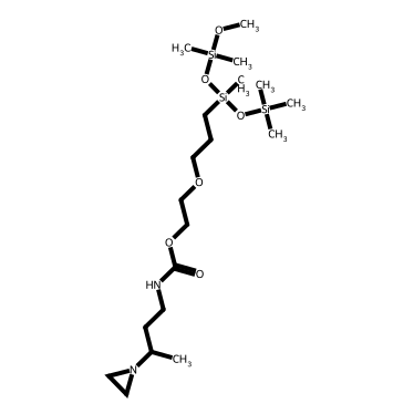 CO[Si](C)(C)O[Si](C)(CCCOCCOC(=O)NCCC(C)N1CC1)O[Si](C)(C)C